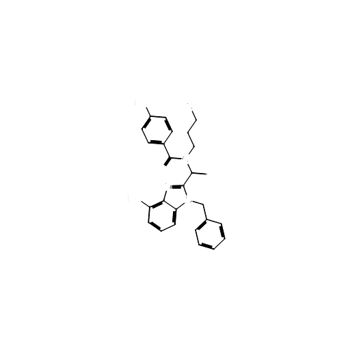 Cc1ccc(C(=O)N(CCCN)C(c2nc3c(C)cccc3n2Cc2ccccc2)C(C)C)cc1